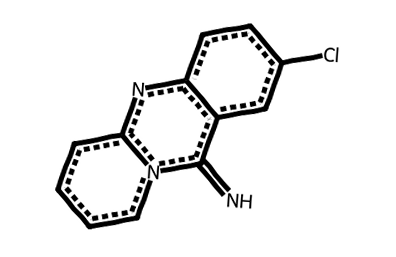 N=c1c2cc(Cl)ccc2nc2ccccn12